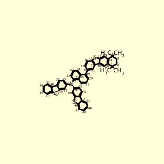 CC1(C)CCC(C)(C)c2cc3c(cc21)sc1ccc(-c2cccc4c(N(c5ccc6c(c5)oc5ccccc56)c5ccc6c(c5)sc5ccccc56)cccc24)cc13